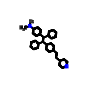 CCN(C)c1ccc(/C(=C(\c2ccccc2)c2ccc(/C=C/c3ccncc3)cc2)c2ccccc2)cc1